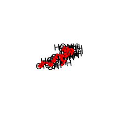 CCC(c1ccccc1)[C@H](N)C(=O)N[C@@H](Cc1ccc(OC2OC(CO)C(OC3OC(COCc4ccc5cc(OC)ccc5c4)C(O)C(O)C3O)C(O)C2O)cc1)C(=O)N[C@H](C(=O)N[C@H](C(=O)N[C@H]([C]=O)CO)C(O)C1CNC(=N)N1C1OC(CO)C(O)C(O)C1O)C(O)C1CNC(=N)N1